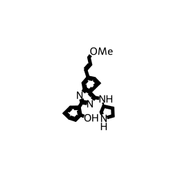 COCC=Cc1ccc2c(N[C@H]3CCNC3)nc(-c3ccccc3O)nc2c1